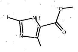 COC(=O)c1[nH]c(I)nc1C